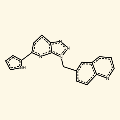 c1c[nH]c(-c2ccc3nnn(Cc4ccc5ncccc5c4)c3n2)c1